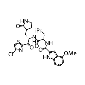 COc1cccc2[nH]c(C(=O)N[C@@H](CC(C)C)C(=O)N[C@@H](C[C@@H]3CCNC3=O)C(=O)c3nc(Cl)cs3)cc12